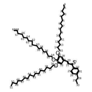 CCCCCCCCCCCCCCCCOc1cc(C=CC(=S)c2ccc(CCC)cc2)cc(OCCCCCCCCCCCCCCCC)c1OCCCCCCCCCCCCCCCC